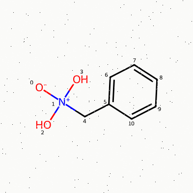 [O-][N+](O)(O)Cc1ccccc1